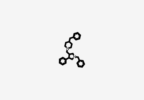 c1ccc(CC2CCN(CC3CN(Cc4ccccc4)CC3c3ccccc3)CC2)cc1